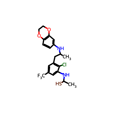 CC(S)Nc1cc(C(F)(F)F)cc(CC(C)Nc2ccc3c(c2)OCCO3)c1Cl